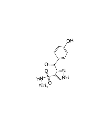 NNS(=O)(=O)c1c[nH]nc1C(=O)c1ccc(O)cc1